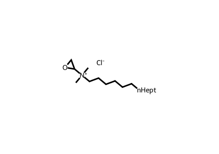 CCCCCCCCCCCCC[N+](C)(C)C1CO1.[Cl-]